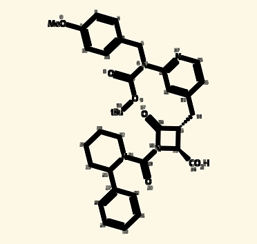 COc1ccc(CN(C(=O)OC(C)(C)C)c2cc(C[C@H]3C(=O)N(C(=O)N4CCCCC4c4ccccc4)[C@@H]3C(=O)O)ccn2)cc1